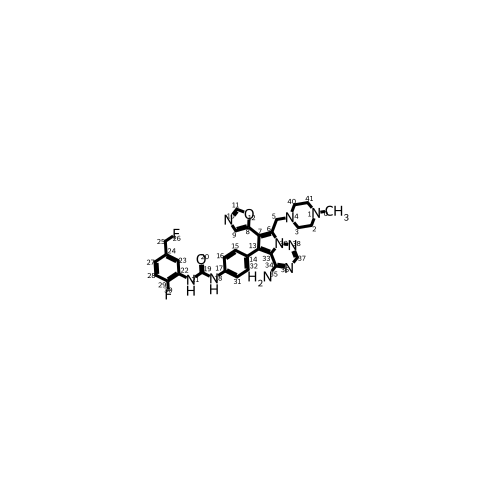 CN1CCN(Cc2c(-c3cnco3)c(-c3ccc(NC(=O)Nc4cc(CF)ccc4F)cc3)c3c(N)ncnn23)CC1